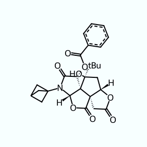 CC(C)(C)[C@]1(O)C[C@@H]2OC(=O)C[C@@]23C(=O)O[C@@H]2N(C45CC(C4)C5)C(=O)[C@H](OC(=O)c4ccccc4)[C@]213